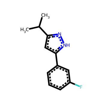 CC(C)c1cc(-c2cccc(F)c2)[nH]n1